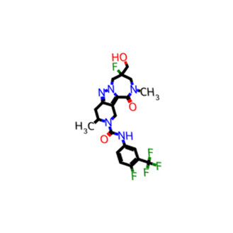 CC1Cc2nn3c(c2CN1C(=O)Nc1ccc(F)c(C(F)(F)F)c1)C(=O)N(C)CC(F)(CO)C3